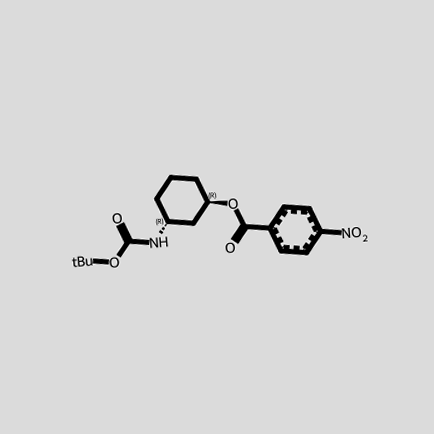 CC(C)(C)OC(=O)N[C@@H]1CCC[C@@H](OC(=O)c2ccc([N+](=O)[O-])cc2)C1